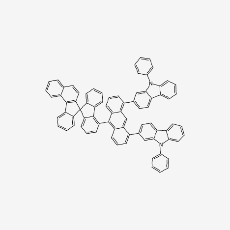 c1ccc(-n2c3ccccc3c3ccc(-c4cccc5c(-c6cccc7c6-c6ccccc6C76c7ccccc7-c7c6ccc6ccccc76)c6cccc(-c7ccc8c9ccccc9n(-c9ccccc9)c8c7)c6cc45)cc32)cc1